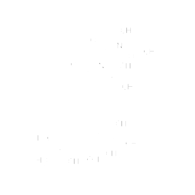 CON(C)C(=O)N1C(=O)C(=Cc2cc(C(C)(C)C)c(O)c(C(C)(C)C)c2)CC1(C)C